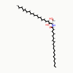 CCCCCCCCCCCCCCCCCCCC(=O)N[C@@H](CO)[C@H](O)CCCCCCCCCCCCCCCCC